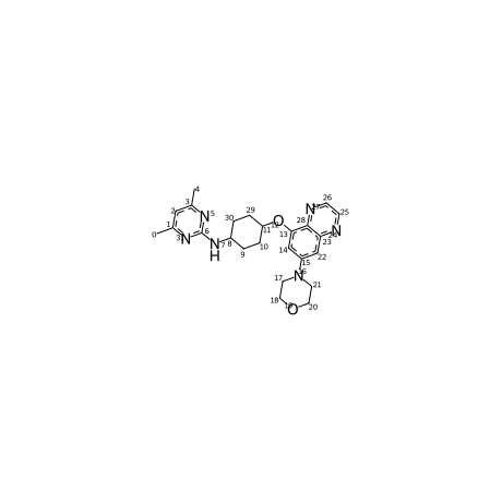 Cc1cc(C)nc(NC2CCC(Oc3cc(N4CCOCC4)cc4nccnc34)CC2)n1